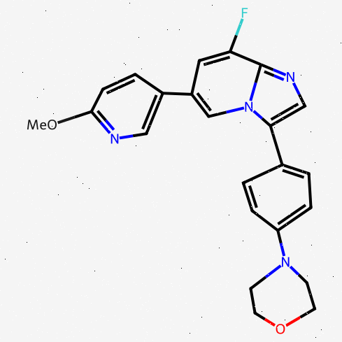 COc1ccc(-c2cc(F)c3ncc(-c4ccc(N5CCOCC5)cc4)n3c2)cn1